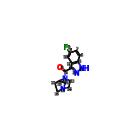 O=C(c1n[nH]c2ccc(F)cc12)N1CCN2CCC1C2